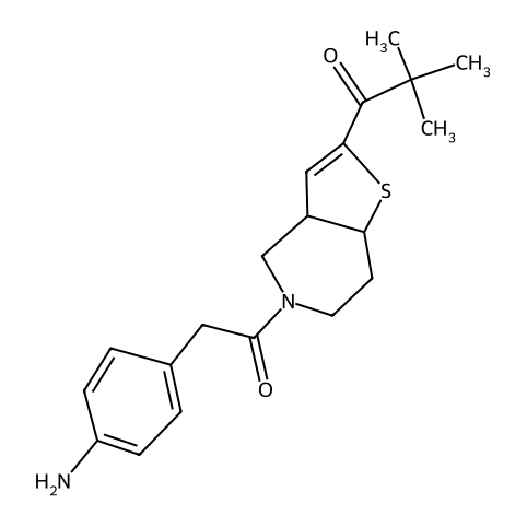 CC(C)(C)C(=O)C1=CC2CN(C(=O)Cc3ccc(N)cc3)CCC2S1